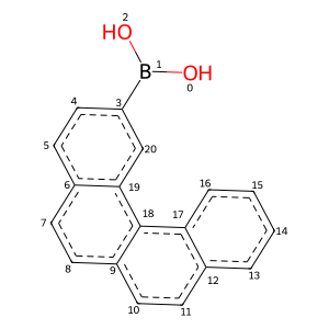 OB(O)c1ccc2ccc3ccc4ccccc4c3c2c1